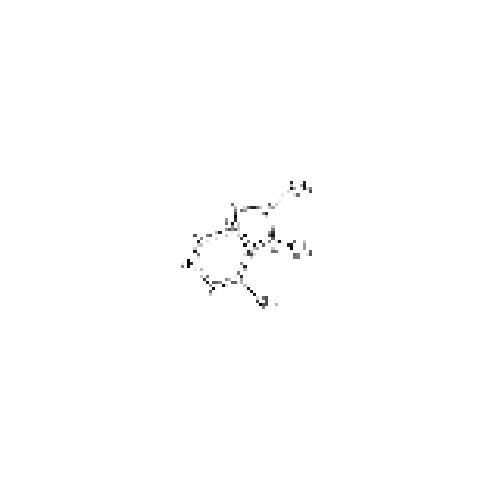 Cc1cn2cncc(C)c2c1C